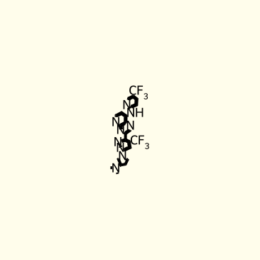 CN(C)C1CCN(c2cc(C(F)(F)F)c(-c3cnc4c(Nc5ccc(C(F)(F)F)cn5)ccnc4n3)nn2)C1